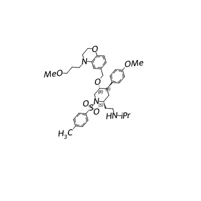 COCCCN1CCOc2ccc(CO[C@H]3CN(S(=O)(=O)c4ccc(C)cc4)[C@H](CCNC(C)C)C[C@@H]3c3ccc(OC)cc3)cc21